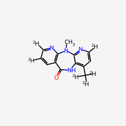 [2H]c1cc(C([2H])([2H])[2H])c2c(n1)N(C)c1nc([2H])c([2H])cc1C(=O)N2